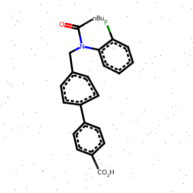 CCCCC(=O)N(Cc1ccc(-c2ccc(C(=O)O)cc2)cc1)c1ccccc1F